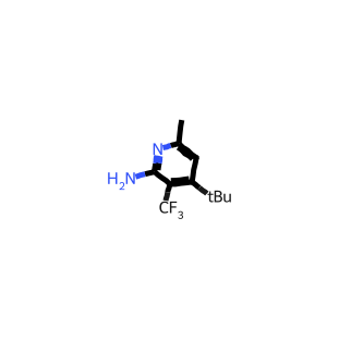 Cc1cc(C(C)(C)C)c(C(F)(F)F)c(N)n1